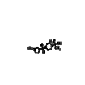 CC(C)(C)N1CCC(S(=O)(=O)N2CCN(C(C)(C)S)CC2)C1